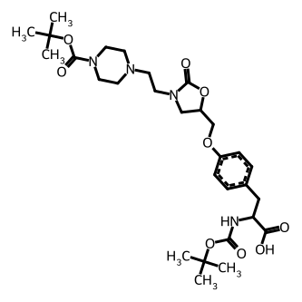 CC(C)(C)OC(=O)NC(Cc1ccc(OCC2CN(CCN3CCN(C(=O)OC(C)(C)C)CC3)C(=O)O2)cc1)C(=O)O